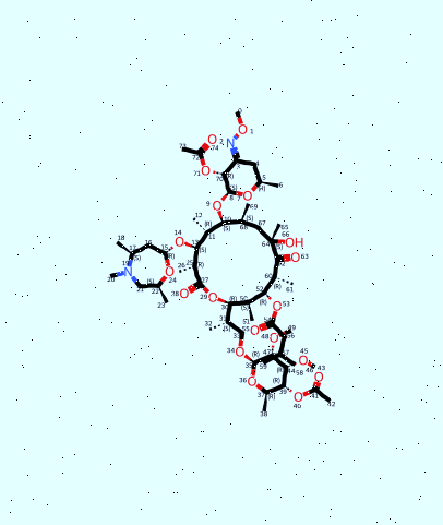 CON=C1C[C@@H](C)O[C@@H](O[C@@H]2[C@@H](C)[C@H](O[C@H]3C[C@H](C)N(C)C[C@H](C)O3)[C@@H](C)C(=O)O[C@H]([C@@H](C)CO[C@@H]3O[C@H](C)[C@@H](OC(C)=O)[C@@H](OC)[C@H]3OC)[C@H](C)[C@@H](OC(=O)CC(C)C)[C@@H](C)C(=O)[C@@](C)(O)C[C@@H]2C)[C@@H]1OC(C)=O